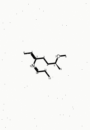 C/C=C(CC[C@H](C)OC)\N=C/CC